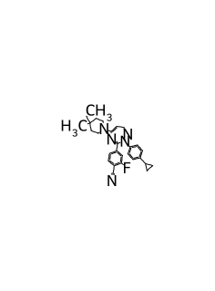 CCC1(C)CCN(C2=CC=NN(c3ccc(C4CC4)cc3)C(c3ccc(C#N)c(F)c3)=N2)CC1